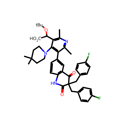 Cc1nc(C)c(C(OC(C)(C)C)C(=O)O)c(N2CCC(C)(C)CC2)c1-c1ccc2c(c1)C(=O)C(Cc1ccc(F)cc1)(Cc1ccc(F)cc1)C(=O)N2